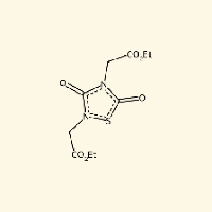 CCOC(=O)Cn1sc(=O)n(CC(=O)OCC)c1=O